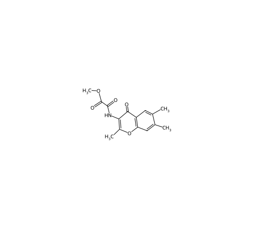 COC(=O)C(=O)Nc1c(C)oc2cc(C)c(C)cc2c1=O